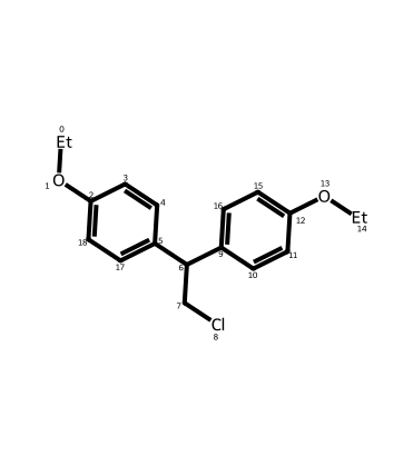 CCOc1ccc(C(CCl)c2ccc(OCC)cc2)cc1